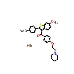 Br.CCOc1ccc2c(C(=O)c3ccc(OCCN4CCCCC4)cc3)c(-c3ccc(OC)cc3)sc2c1